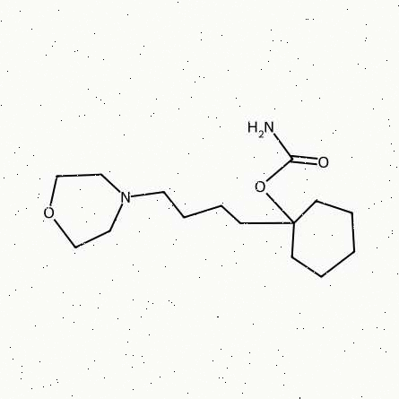 NC(=O)OC1(CCCCN2CCOCC2)CCCCC1